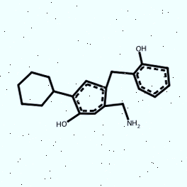 NCc1cc(O)c(C2CCCCC2)cc1Cc1ccccc1O